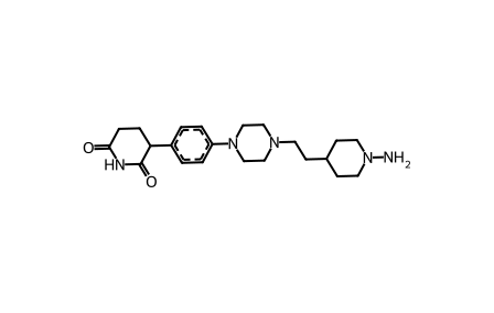 NN1CCC(CCN2CCN(c3ccc(C4CCC(=O)NC4=O)cc3)CC2)CC1